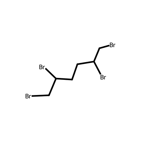 BrCC(Br)CCC(Br)CBr